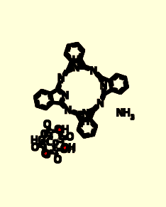 N.O=[S](=O)(O)[Co]([S](=O)(=O)O)([S](=O)(=O)O)[S](=O)(=O)O.c1ccc2c(c1)-c1nc-2nc2[nH]c(nc3nc(nc4[nH]c(n1)c1ccccc41)-c1ccccc1-3)c1ccccc21